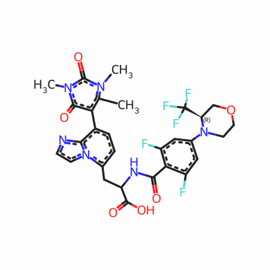 Cc1c(-c2ccc(CC(NC(=O)c3c(F)cc(N4CCOC[C@@H]4C(F)(F)F)cc3F)C(=O)O)n3ccnc23)c(=O)n(C)c(=O)n1C